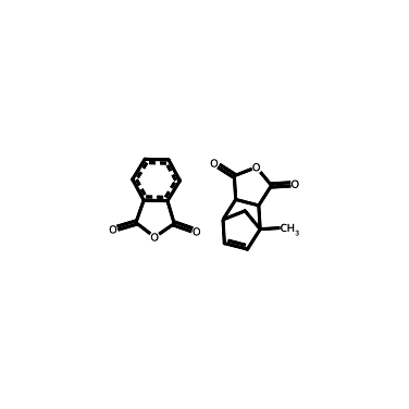 CC12C=CC(C1)C1C(=O)OC(=O)C12.O=C1OC(=O)c2ccccc21